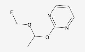 CC(OCF)Oc1ncccn1